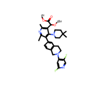 Cc1nc(C)c(C(OC(C)(C)C)C(=O)OC(C)C)c(N2CCC(C)(C)CC2)c1-c1ccc2c(c1)CCN(c1cc(F)ncc1F)C2